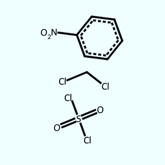 ClCCl.O=S(=O)(Cl)Cl.O=[N+]([O-])c1ccccc1